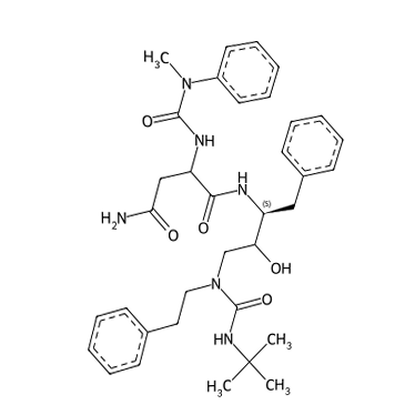 CN(C(=O)NC(CC(N)=O)C(=O)N[C@@H](Cc1ccccc1)C(O)CN(CCc1ccccc1)C(=O)NC(C)(C)C)c1ccccc1